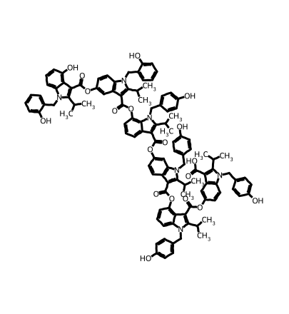 CC(C)c1c(C(=O)O)c2cc(OC(=O)c3c(C(C)C)n(Cc4ccc(O)cc4)c4cccc(OC(=O)c5c(C(C)C)n(Cc6ccc(O)cc6)c6cc(OC(=O)c7c(C(C)C)n(Cc8ccc(O)cc8)c8c(OC(=O)c9c(C(C)C)n(Cc%10ccccc%10O)c%10ccc(OC(=O)c%11c(C(C)C)n(Cc%12ccccc%12O)c%12cccc(O)c%11%12)cc9%10)cccc78)ccc56)c34)ccc2n1Cc1ccc(O)cc1